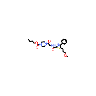 CCCCOC(=O)N1CCN(C(=O)CNC(=O)c2nc(-c3ccccc3)c(CCCOC)s2)CC1